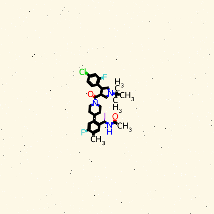 CC(=O)N[C@@H](I)c1cc(C)c(F)cc1C1CCN(C(=O)C2CN(C(C)(C)C)CC2c2ccc(Cl)cc2F)CC1